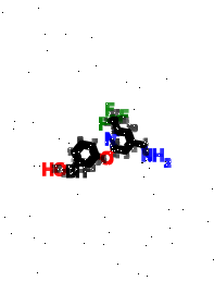 NCc1cc(Oc2cccc(BO)c2)nc(C(F)(F)F)c1